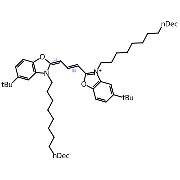 CCCCCCCCCCCCCCCCCCN1/C(=C\C=C\c2oc3ccc(C(C)(C)C)cc3[n+]2CCCCCCCCCCCCCCCCCC)Oc2ccc(C(C)(C)C)cc21